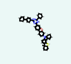 CC12C=CC=CC1Sc1c2ccc2c1c1c(n2C2=CC3Oc4cc(C5=NC(C6=CCCCC6)NC(C6C=CC(C7=CC=CCC7)=CC6)=N5)ccc4C3C=C2)CCC=C1